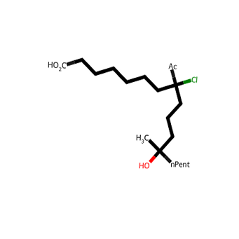 CCCCCC(C)(O)CCCC(Cl)(CCCCCCC(=O)O)C(C)=O